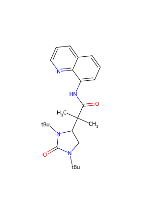 CC(C)(C(=O)Nc1cccc2cccnc12)C1CN(C(C)(C)C)C(=O)N1C(C)(C)C